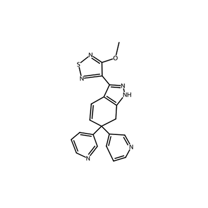 COc1nsnc1-c1n[nH]c2c1C=CC(c1cccnc1)(c1cccnc1)C2